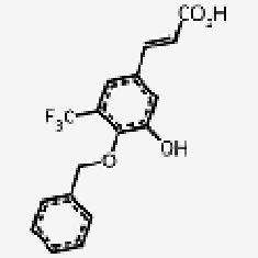 O=C(O)/C=C/c1cc(O)c(OCc2ccccc2)c(C(F)(F)F)c1